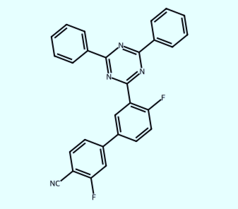 N#Cc1ccc(-c2ccc(F)c(-c3nc(-c4ccccc4)nc(-c4ccccc4)n3)c2)cc1F